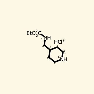 CCOC(=O)NCC1CCNCC1.Cl